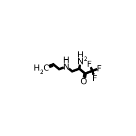 C=CCNCC(N)C(=O)C(F)(F)F